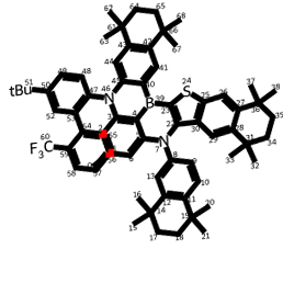 Cc1cc2c3c(c1)N(c1ccc4c(c1)C(C)(C)CCC4(C)C)c1c(sc4cc5c(cc14)C(C)(C)CCC5(C)C)B3c1cc3c(cc1N2c1ccc(C(C)(C)C)cc1-c1ccccc1C(F)(F)F)C(C)(C)CCC3(C)C